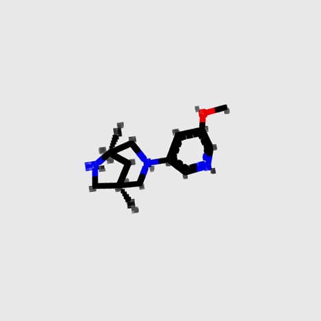 COc1cncc(N2C[C@H]3CN[C@H](C3)C2)c1